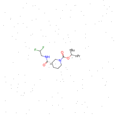 CCCC(OC(=O)N1CCC[C@H](C(=O)NCC(F)F)C1)C(C)(C)C